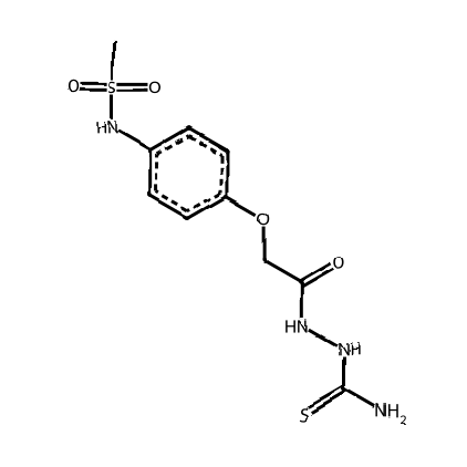 CS(=O)(=O)Nc1ccc(OCC(=O)NNC(N)=S)cc1